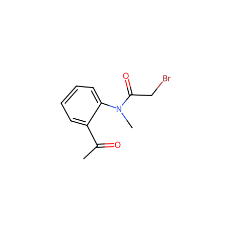 CC(=O)c1ccccc1N(C)C(=O)CBr